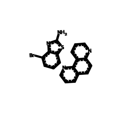 Nc1nc2c(Br)cccc2s1.c1cnc2c(c1)ccc1ncccc12